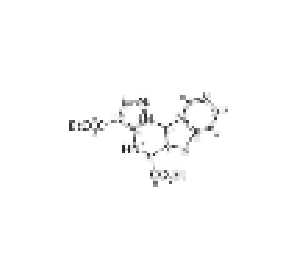 CCOC(=O)c1cnn2c1NC(C(=O)OCC)C1Cc3ccccc3C12